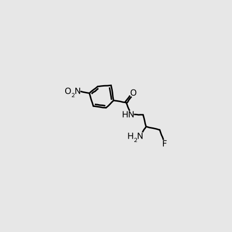 NC(CF)CNC(=O)c1ccc([N+](=O)[O-])cc1